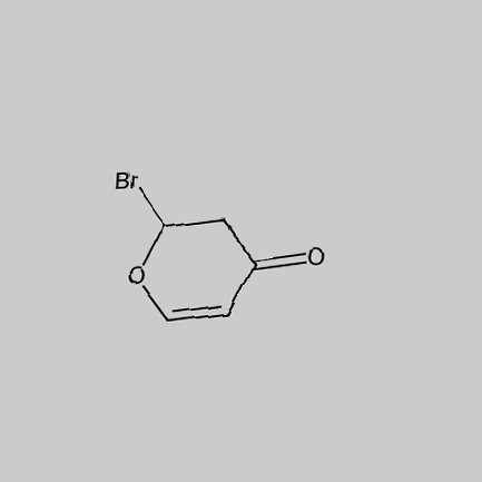 O=C1C=COC(Br)C1